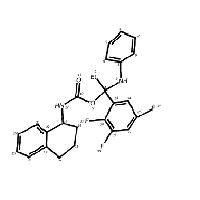 CCC(Nc1ccccc1)(OC(=O)NC1CCCc2ccccc21)c1cc(F)cc(F)c1F